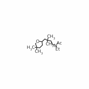 CCN(CCC(C)(C)CC1CCC(C)(C)CO1)C(C)=O